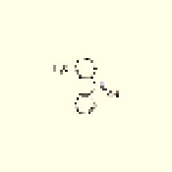 Cc1cccc(/C(=C/C#N)c2ccccc2)c1